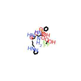 NC(C(=O)[C@H]1C[C@H](CCCCNc2ccccn2)ON1)[C@H](NS(=O)(=O)c1ccccc1)C(=O)O.O=C(O)C(F)(F)F